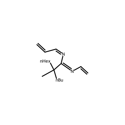 C=C/C=N\C(=N/C=C)C(C)(CCCC)CCCCCC